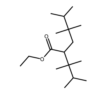 CCOC(=O)C(CC(C)(C)C(C)C)C(C)(C)C(C)C